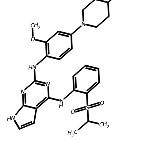 COc1cc(N2CCC(O)CC2)ccc1Nc1nc(Nc2ccccc2S(=O)(=O)C(C)C)c2cc[nH]c2n1